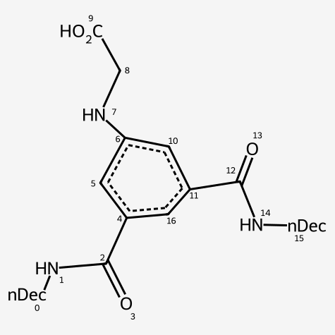 CCCCCCCCCCNC(=O)c1cc(NCC(=O)O)cc(C(=O)NCCCCCCCCCC)c1